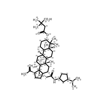 C=C(C)[C@@H]1CC[C@]2(CC(=O)N[C@H]3CC[C@@H](N(C)C)C3)CC[C@]3(C)[C@H](CC[C@@H]4[C@@]5(C)CC[C@H](OC(=O)CC(C)(C)C(=O)O)C(C)(C)[C@@H]5CC[C@]43C)[C@@H]12